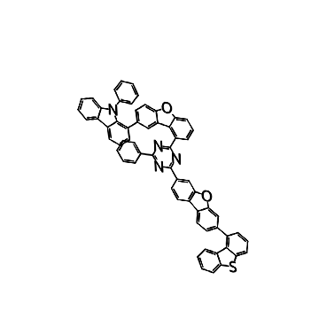 c1ccc(-c2nc(-c3ccc4c(c3)oc3cc(-c5cccc6sc7ccccc7c56)ccc34)nc(-c3cccc4oc5ccc(-c6cccc7c8ccccc8n(-c8ccccc8)c67)cc5c34)n2)cc1